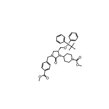 COC(=O)c1ccc(CN2C[C@@H](CO[Si](c3ccccc3)(c3ccccc3)C(C)(C)C)N(C3CCN(C(=O)OC)CC3)C2=O)cc1